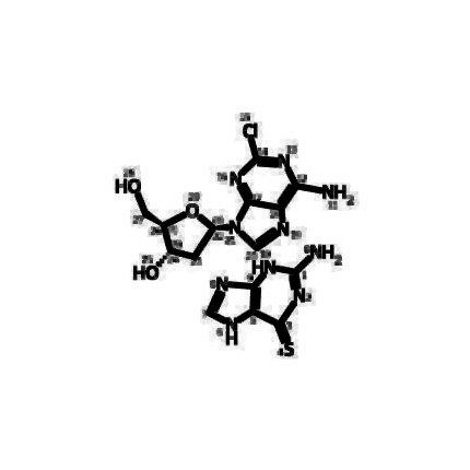 Nc1nc(=S)c2[nH]cnc2[nH]1.Nc1nc(Cl)nc2c1ncn2[C@H]1C[C@H](O)[C@@H](CO)O1